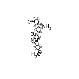 COc1ccc(-c2nnc3n2CCN([C@H]2CC[C@](CN)(c4cccc(Cl)c4)CC2)C3=O)cc1